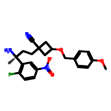 COc1ccc(COC2CC(C#N)(CC[C@](C)(N)c3cc([N+](=O)[O-])ccc3F)C2)cc1